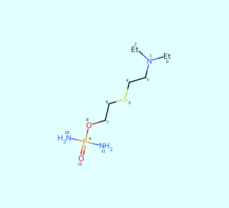 CCN(CC)CCSCCOP(N)(N)=O